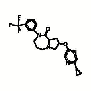 O=C1C2CC(Oc3cnc(C4CC4)cn3)CN2CCCN1c1cccc(C(F)(F)F)c1